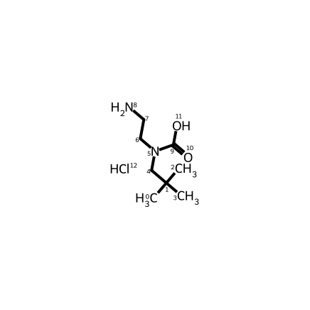 CC(C)(C)CN(CCN)C(=O)O.Cl